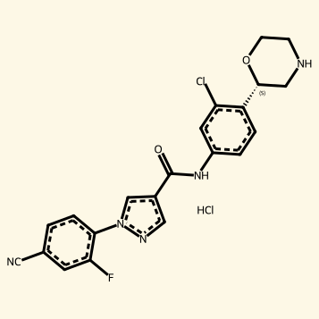 Cl.N#Cc1ccc(-n2cc(C(=O)Nc3ccc([C@H]4CNCCO4)c(Cl)c3)cn2)c(F)c1